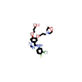 OCCCOc1cc2ncnc(Nc3ccc(F)c(Cl)c3)c2cc1OCCCN1CCOCC1